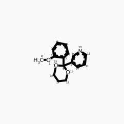 COc1ccccc1C1(c2cccnc2)OC[CH]CO1